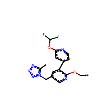 CCOc1ncc(Cn2nnnc2C)cc1-c1ccnc(OC(F)F)c1